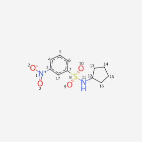 O=[N+]([O-])c1cccc(S(=O)(=O)NC2CCCC2)c1